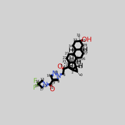 C[C@@H]1C2=C(C(=O)Cn3cc(C(=O)N4CC(F)(F)C4)cn3)[C@@]3(C)CC[C@H]4[C@@H](CC[C@@H]5C[C@](C)(O)CC[C@@H]54)[C@@H]3[C@@H]21